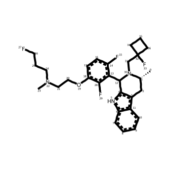 C[C@@H]1Cc2c([nH]c3ccccc23)C(c2c(F)ccc(OCCN(C)CCCF)c2F)N1CC1(F)CCC1